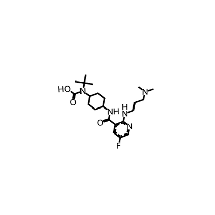 CN(C)CCCNc1ncc(F)cc1C(=O)NC1CCC(N(C(=O)O)C(C)(C)C)CC1